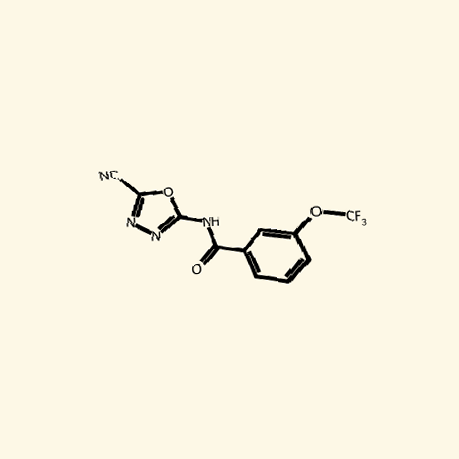 N#Cc1nnc(NC(=O)c2cccc(OC(F)(F)F)c2)o1